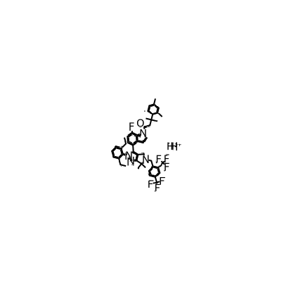 CCc1cccc(CC)c1-n1nc2c(c1-c1ccc(F)c3c1ccn3C(=O)CC(C)(C)c1[c]cc(C)cc1C)CN(Cc1ccc(C(F)(F)F)cc1C(F)(F)F)C2(C)C.[H+].[H+]